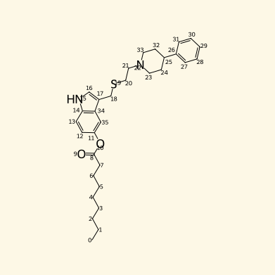 CCCCCCCCC(=O)Oc1ccc2[nH]cc(CSCCN3CCC(c4ccccc4)CC3)c2c1